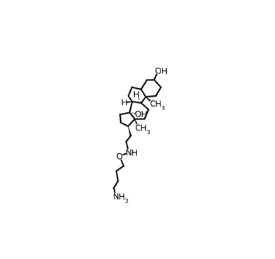 C[C@]12CCC(O)CC1CC[C@@H]1[C@@H]2CC[C@]2(C)[C@@H](CCNOCCCCN)CC[C@@]12O